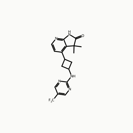 CC1(C)C(=O)Nc2nccc(C3CC(Nc4ncc(C(F)(F)F)cn4)C3)c21